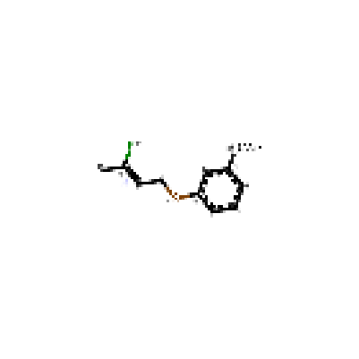 COc1cccc(SC/C=C(/C)F)c1